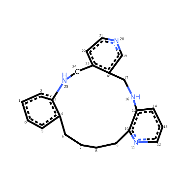 c1ccc2c(c1)CCCCc1ncccc1NCc1cnccc1CN2